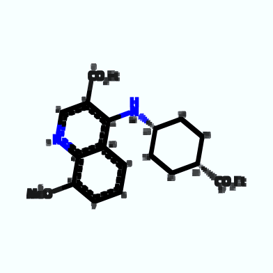 CCOC(=O)c1cnc2c(OC)cccc2c1N[C@H]1CC[C@@H](C(=O)OCC)CC1